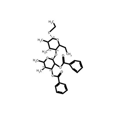 CCS[C@@H]1OC(CC)[C@@H](O[C@@H]2OC(C)[C@H](C)[C@H](OC(=O)c3ccccc3)C2OC(=O)c2ccccc2)[C@H](C)C1C